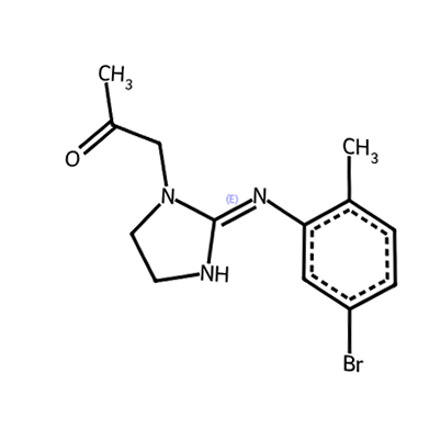 CC(=O)CN1CCN/C1=N\c1cc(Br)ccc1C